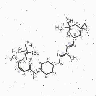 CC(/C=C/[C@@H]1C[C@]2(CO2)CC(C)(C)O1)=C\C[C@H]1CC[C@H](NC(=O)/C=C\[C@H](C)O[Si](C)(C)C(C)(C)C)CC1